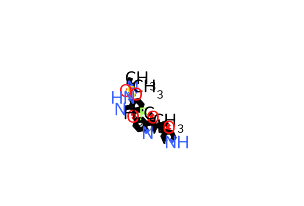 CCN(C)S(=O)(=O)Nc1ccc(F)c(Oc2ccc3ncc([C@]4(C)COC5(CCNCC5)C4)c(OC)c3c2)c1C#N